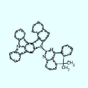 CC1(C)c2ccccc2-c2nc(-n3c4ccc5ccccc5c4c4c5c6ccccc6n6c7ccccc7c(cc43)c56)nc3cccc1c23